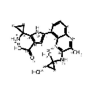 Cc1nc2cccc(-c3cc(C(=O)O)c(C4(N)CC4)[nH]3)c2nc1NC1(C)CC1.Cl